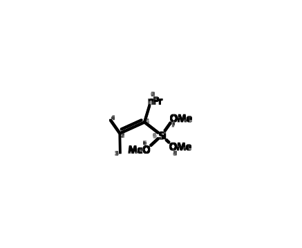 CCCC(=C(C)C)[Si](OC)(OC)OC